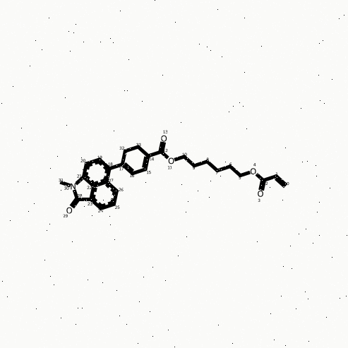 C=CC(=O)OCCCCCCOC(=O)C1=CC=C(c2ccc3c4c(cccc24)C(=O)N3C)CC1